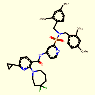 COc1ccc(CN(Cc2ccc(OC)cc2OC)S(=O)(=O)c2cc(NC(=O)c3ccc(C4CC4)nc3N3CCCC(F)(F)CC3)ccn2)c(OC)c1